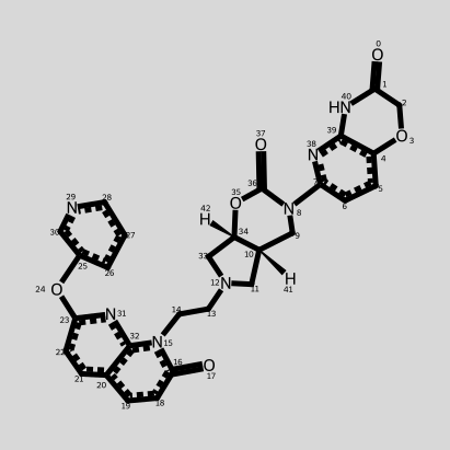 O=C1COc2ccc(N3C[C@@H]4CN(CCn5c(=O)ccc6ccc(Oc7cccnc7)nc65)C[C@@H]4OC3=O)nc2N1